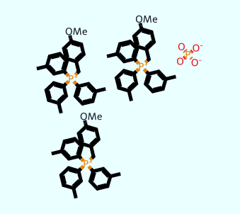 COc1ccc(C[P+](c2cccc(C)c2)(c2cccc(C)c2)c2cccc(C)c2)cc1.COc1ccc(C[P+](c2cccc(C)c2)(c2cccc(C)c2)c2cccc(C)c2)cc1.COc1ccc(C[P+](c2cccc(C)c2)(c2cccc(C)c2)c2cccc(C)c2)cc1.O=P([O-])([O-])[O-]